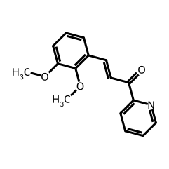 COc1cccc(/C=C/C(=O)c2ccccn2)c1OC